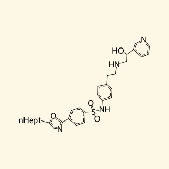 CCCCCCCc1cnc(-c2ccc(S(=O)(=O)Nc3ccc(CCNCC(O)c4cccnc4)cc3)cc2)o1